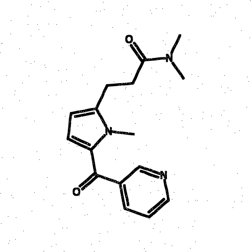 CN(C)C(=O)CCc1ccc(C(=O)c2cccnc2)n1C